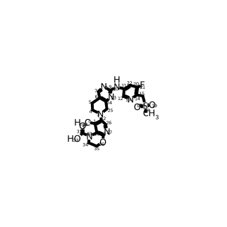 Cc1c(N2CCc3cnc(Nc4cnc(CS(C)(=O)=O)c(F)c4)nc3C2)cnc2c1N(C(=O)O)CCO2